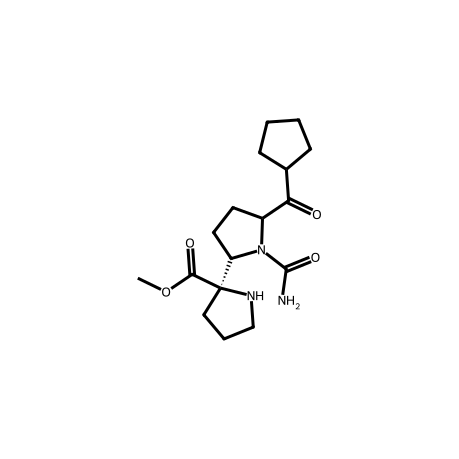 COC(=O)[C@]1(C2CCC(C(=O)C3CCCC3)N2C(N)=O)CCCN1